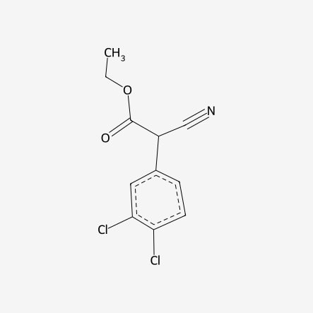 CCOC(=O)C(C#N)c1ccc(Cl)c(Cl)c1